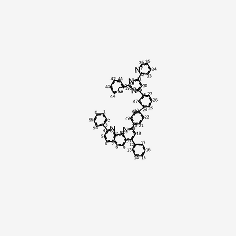 c1ccc(-c2ccc3ccc4c(-c5ccccc5)cc(-c5ccc(-c6cccc(-c7cc(-c8ccccn8)nc(-c8ccccc8)n7)c6)cc5)nc4c3n2)cc1